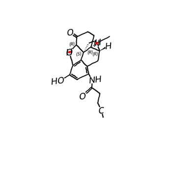 CCCCC(=O)Nc1cc(O)c2c3c1C[C@@H]1[C@@H]4CCC(=O)[C@H](O2)[C@]34CCN1C